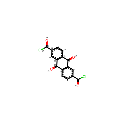 O=C(Cl)c1ccc2c(c1)C(=O)c1ccc(C(=O)Cl)cc1C2=O